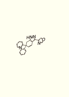 C1=CC(c2ccccc2)(c2ccccn2)Cc2[nH]nc(-c3cocn3)c21